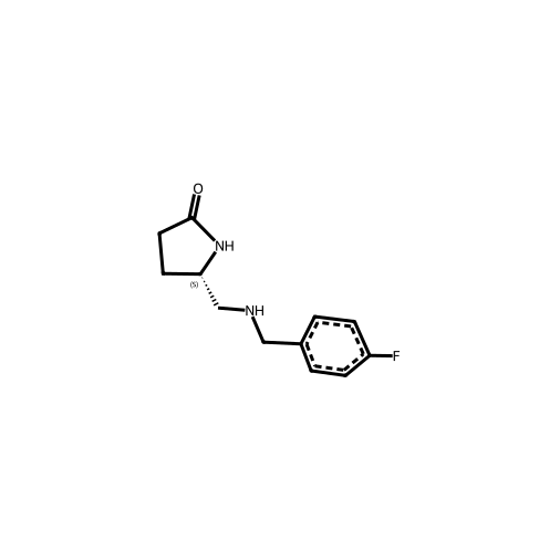 O=C1CC[C@@H](CNCc2ccc(F)cc2)N1